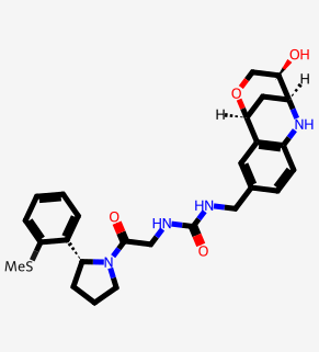 CSc1ccccc1[C@H]1CCCN1C(=O)CNC(=O)NCc1ccc2c(c1)[C@@H]1C[C@H](N2)[C@H](O)CO1